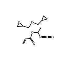 C(OCC1CO1)C1CO1.C=CC(=O)OC(C)N=C=O